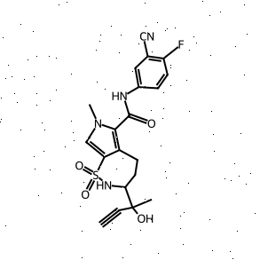 C#CC(C)(O)C1CCc2c(cn(C)c2C(=O)Nc2ccc(F)c(C#N)c2)S(=O)(=O)N1